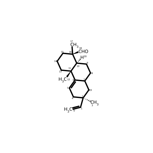 C=C[C@@]1(C)CC=C2C(CC[C@H]3[C@@]2(C)CCC[C@@]3(C)C=O)C1